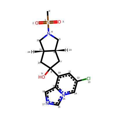 CS(=O)(=O)N1C[C@@H]2CC(O)(c3cc(Cl)cn4cncc34)C[C@@H]2C1